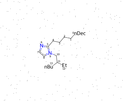 CCCCCCCCCCCCCCc1nccn1CC(CC)CCCC